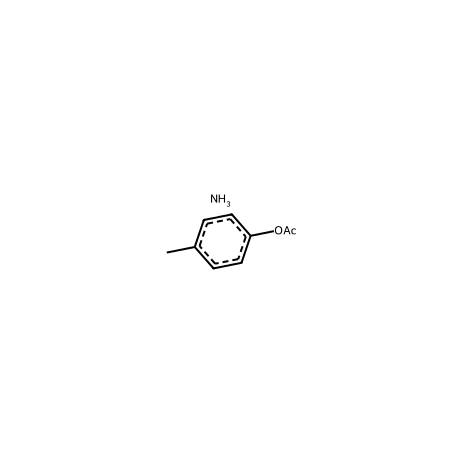 CC(=O)Oc1ccc(C)cc1.N